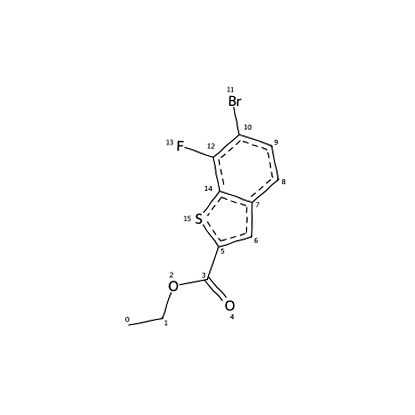 CCOC(=O)c1cc2ccc(Br)c(F)c2s1